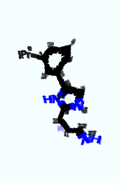 CC(C)c1cccc(-c2cnc(/C=C\C=N)[nH]2)c1